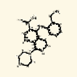 NCc1ccccc1Nc1c(C(=O)O)cnc2c(N3CCOCC3)nccc12